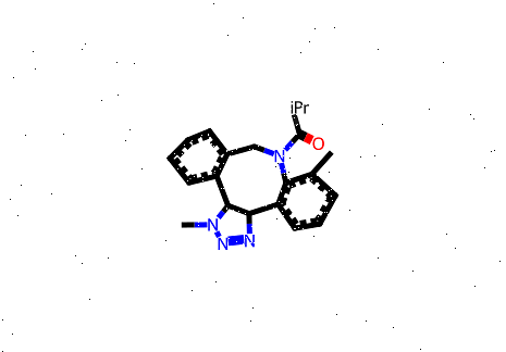 Cc1cccc2c1N(C(=O)C(C)C)Cc1ccccc1C1C2N=NN1C